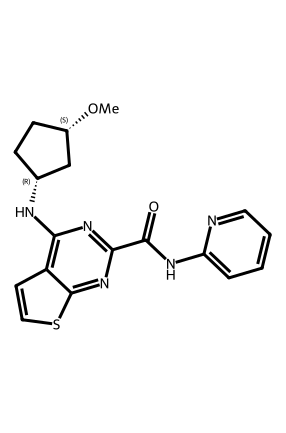 CO[C@H]1CC[C@@H](Nc2nc(C(=O)Nc3ccccn3)nc3sccc23)C1